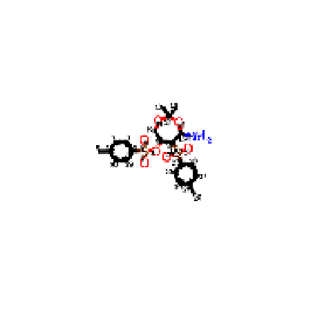 Cc1ccc(S(=O)(=O)OC2COC(C)(C)OC(N)C2S(=O)(=O)c2ccc(C)cc2)cc1